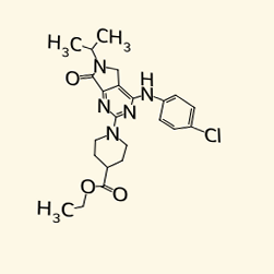 CCOC(=O)C1CCN(c2nc(Nc3ccc(Cl)cc3)c3c(n2)C(=O)N(C(C)C)C3)CC1